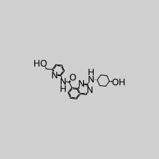 O=C(Nc1cccc(CO)n1)c1cccc2cnc(N[C@H]3CC[C@H](O)CC3)nc12